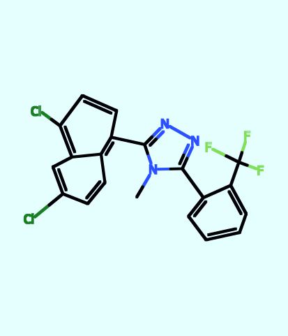 Cn1c(-c2ccccc2C(F)(F)F)nnc1-c1ccc(Cl)c2cc(Cl)ccc12